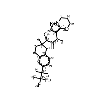 C[C@@H](NC(=O)C1(C)CCc2nc(C(C)(C)C(F)(F)F)ccc2C1)c1cnn2c1OCCC2